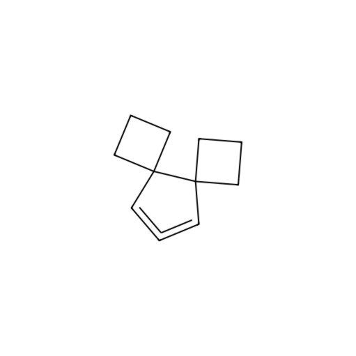 C1=CC2(CCC2)C2(C=1)CCC2